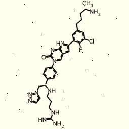 C[C@H](N)CCCc1cc(Cl)c(F)c(-c2cc3cn(-c4ccc([C@H](Cn5ccnn5)NCCCNC(=N)N)cc4)c(=O)nc3[nH]2)c1